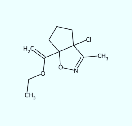 C=C(OCC)C12CCCC1(Cl)C(C)=NO2